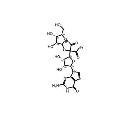 CC(C)C(=O)C(OC1O[C@H](CO)[C@@H](O)[C@@H]1O)(C(=O)C(C)C)[C@H]1O[C@@H](n2cnc3c(=O)[nH]c(N)nc32)[C@H](O)[C@@H]1O